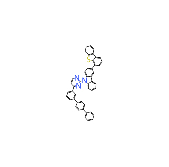 C1=Cc2c(sc3c(-c4ccc5c(c4)c4ccccc4n5-c4nccc(-c5cccc(-c6ccc(-c7ccccc7)cc6)c5)n4)cccc23)CC1